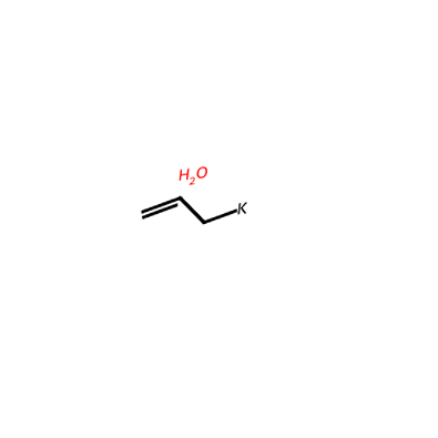 C=C[CH2][K].O